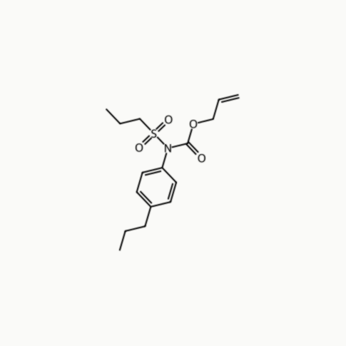 C=CCOC(=O)N(c1ccc(CCC)cc1)S(=O)(=O)CCC